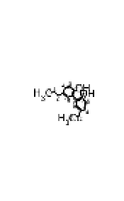 CCCc1ccc(O)c(-c2cc(CC)c[c]c2O)c1